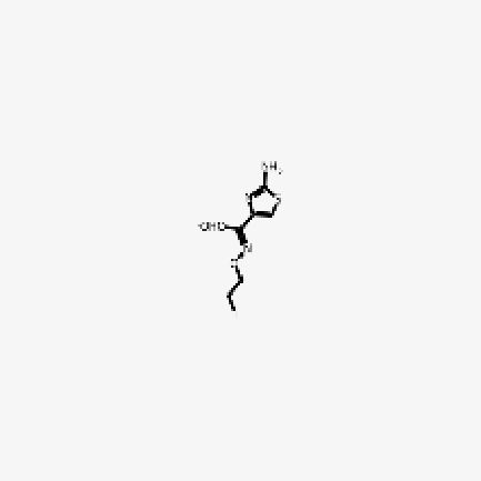 Nc1nc(/C([C]=O)=N/OCCI)cs1